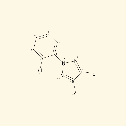 Cc1nn(-c2ccccc2Cl)nc1C